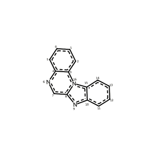 c1ccc2c(c1)ncc1nc3ccccc3n12